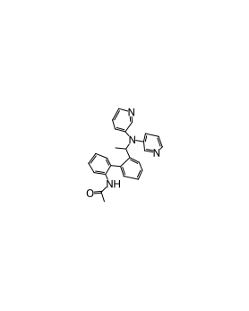 CC(=O)Nc1ccccc1-c1ccccc1C(C)N(c1cccnc1)c1cccnc1